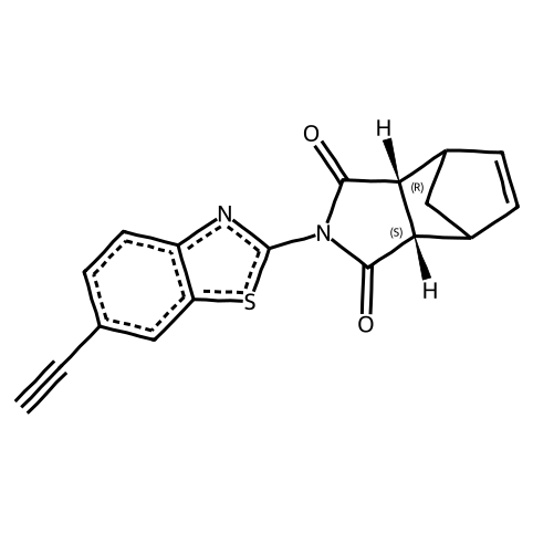 C#Cc1ccc2nc(N3C(=O)[C@@H]4C5C=CC(C5)[C@@H]4C3=O)sc2c1